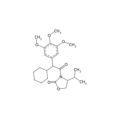 COc1cc(C(C(=O)N2C(=O)OCC2C(C)C)C2CCCCC2)cc(OC)c1OC